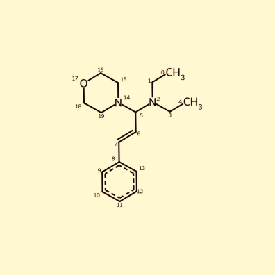 CCN(CC)C(C=Cc1ccccc1)N1CCOCC1